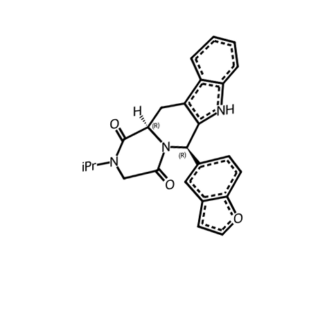 CC(C)N1CC(=O)N2[C@H](c3ccc4occc4c3)c3[nH]c4ccccc4c3C[C@@H]2C1=O